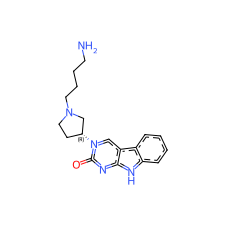 NCCCCN1CC[C@@H](n2cc3c(nc2=O)[nH]c2ccccc23)C1